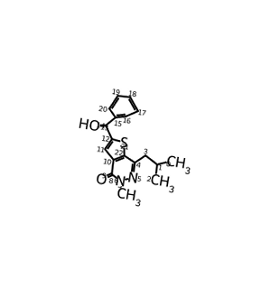 CC(C)Cc1nn(C)c(=O)c2cc(C(O)c3ccccc3)sc12